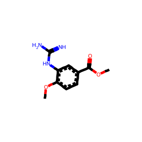 COC(=O)c1ccc(OC)c(NC(=N)N)c1